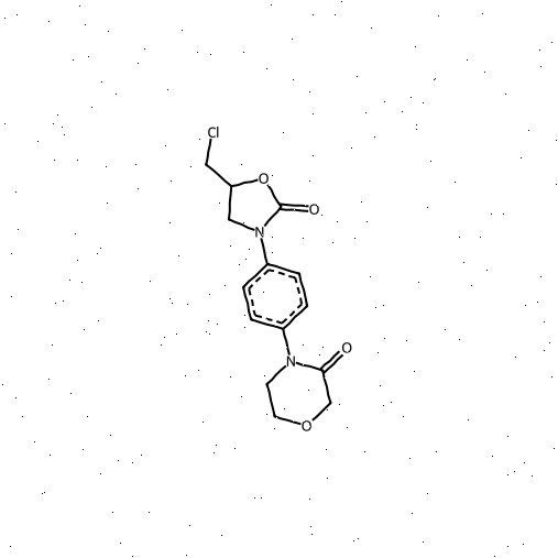 O=C1COCCN1c1ccc(N2CC(CCl)OC2=O)cc1